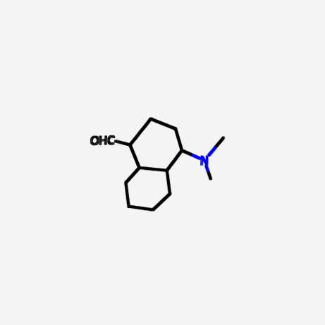 CN(C)C1CCC(C=O)C2CCCCC21